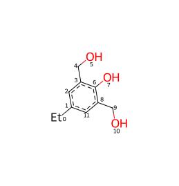 CCc1cc(CO)c(O)c(CO)c1